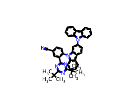 CC(C)(C)c1nc(-c2cc(C#N)ccc2-n2c3ccccc3c3ccc(-n4c5ccccc5c5ccccc54)cc32)nc(C(C)(C)C)n1